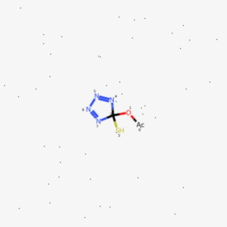 CC(=O)OC1(S)N=NN=N1